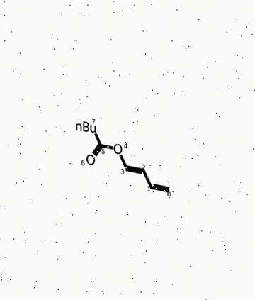 [CH]=CC=COC(=O)CCCC